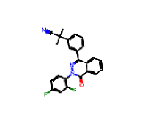 CC(C)(C#N)c1cccc(-c2nn(-c3ccc(F)cc3F)c(=O)c3ccccc23)c1